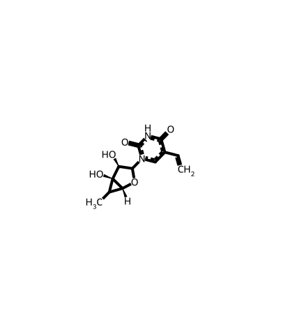 C=Cc1cn(C2O[C@@H]3C(C)[C@]3(O)[C@H]2O)c(=O)[nH]c1=O